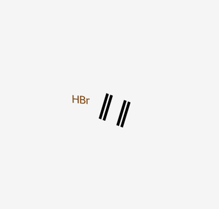 Br.C=C.C=C